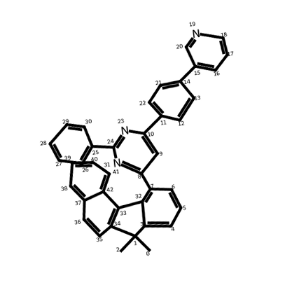 CC1(C)c2cccc(-c3cc(-c4ccc(-c5cccnc5)cc4)nc(-c4ccccc4)n3)c2-c2c1ccc1ccccc21